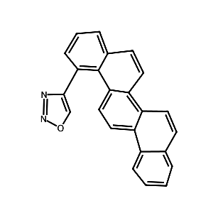 c1ccc2c(c1)ccc1c2ccc2c1ccc1cccc(-c3conn3)c12